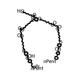 CCCCCC(CCC)CCc1ccc(OC(O)c2ccc(OCCCCCCCCOC(=O)CCC(=O)OCCCCCCCCOc3ccc(OCCCCCCCCOC(=O)CCC(=O)OCCCCCCCCOc4ccc(C(=O)Oc5ccc(C6CCC(CCCCC)CC6)cc5)cc4)cc3C(=O)OCCCCCCO)cc2)cc1